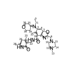 CCN(c1cc2oc(CN3CCN(C)CC3)nc2c(C(=O)NCc2c(C)cc(C)[nH]c2=O)c1C)C1CCOCC1